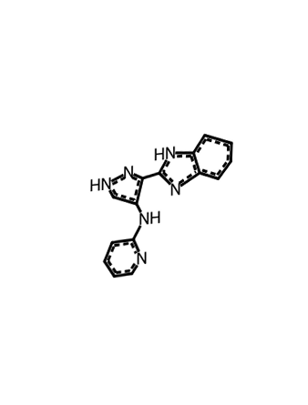 c1ccc(Nc2c[nH]nc2-c2nc3ccccc3[nH]2)nc1